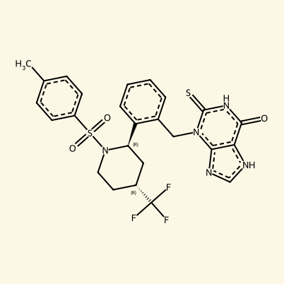 Cc1ccc(S(=O)(=O)N2CC[C@@H](C(F)(F)F)C[C@@H]2c2ccccc2Cn2c(=S)[nH]c(=O)c3[nH]cnc32)cc1